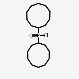 O=P(Cl)(C1CCCCCCCCC1)C1CCCCCCCCC1